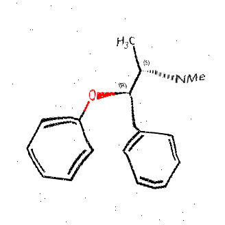 CN[C@@H](C)[C@H](Oc1ccccc1)c1ccccc1